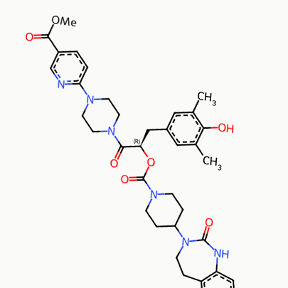 COC(=O)c1ccc(N2CCN(C(=O)[C@@H](Cc3cc(C)c(O)c(C)c3)OC(=O)N3CCC(N4CCc5ccccc5NC4=O)CC3)CC2)nc1